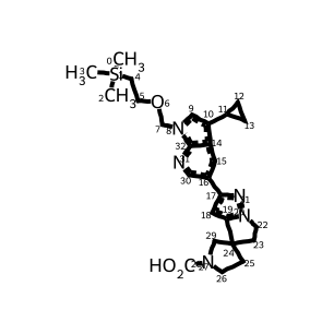 C[Si](C)(C)CCOCn1cc(C2CC2)c2cc(-c3cc4n(n3)CCC43CCN(C(=O)O)C3)cnc21